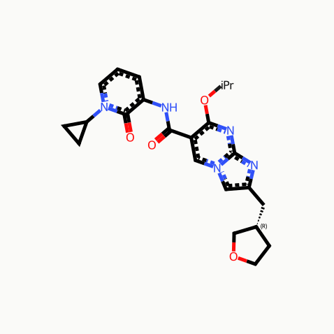 CC(C)Oc1nc2nc(C[C@@H]3CCOC3)cn2cc1C(=O)Nc1cccn(C2CC2)c1=O